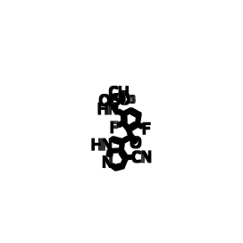 CS(=O)(=O)Nc1ccc(F)c(C(=O)c2c[nH]c3nccc(C#N)c23)c1F